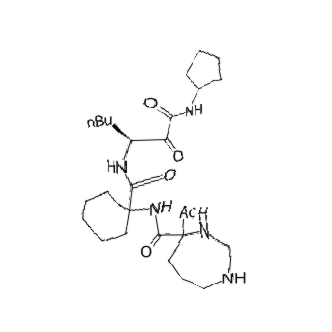 CCCC[C@H](NC(=O)C1(NC(=O)C2(C(C)=O)CCCNCN2)CCCCC1)C(=O)C(=O)NC1CCCC1